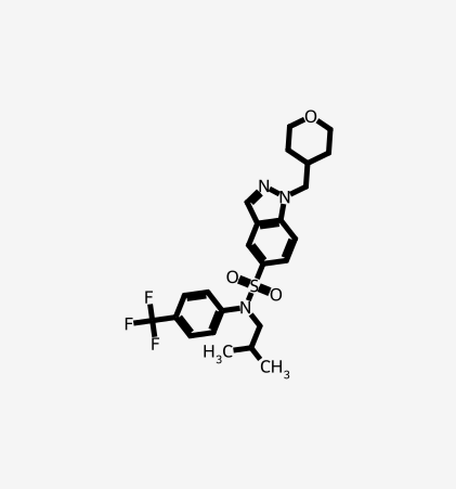 CC(C)CN(c1ccc(C(F)(F)F)cc1)S(=O)(=O)c1ccc2c(cnn2CC2CCOCC2)c1